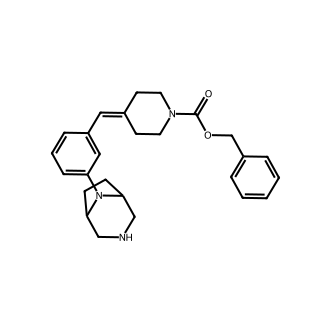 O=C(OCc1ccccc1)N1CCC(=Cc2cccc(N3C4CCC3CNC4)c2)CC1